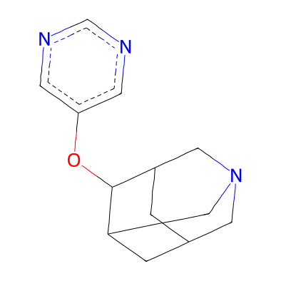 c1ncc(OC2C3CC4CC2CN(C4)C3)cn1